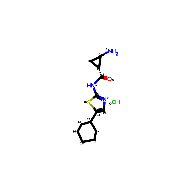 Cl.N[C@@H]1C[C@H]1C(=O)Nc1ncc(C2CCCCC2)s1